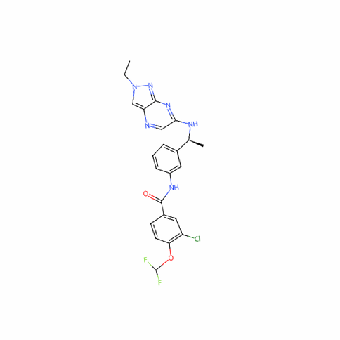 CCn1cc2ncc(N[C@@H](C)c3cccc(NC(=O)c4ccc(OC(F)F)c(Cl)c4)c3)nc2n1